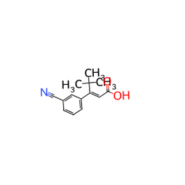 CC(C)(C)/C(=C\C(=O)O)c1cccc(C#N)c1